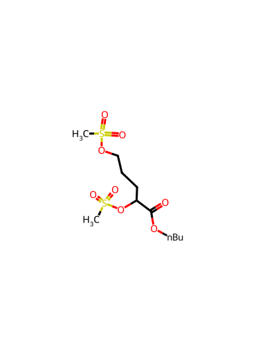 CCCCOC(=O)C(CCCOS(C)(=O)=O)OS(C)(=O)=O